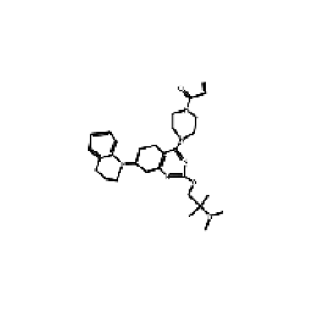 C=CC(=O)N1CCN(c2nc(OCC(C)(C)N(C)C)nc3c2CCC(N2CCCc4ccccc42)C3)CC1